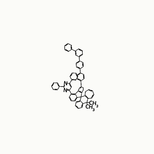 CC1(C)C2=C(CC=CC=C2)C2(C3=C(C=C(c4ccc(-c5ccc(-c6cccc(-c7ccccc7)c6)cc5)cc4)CC3)c3c(-c4cc(-c5ccccc5)nc(-c5ccccc5)n4)cccc32)c2ccccc21